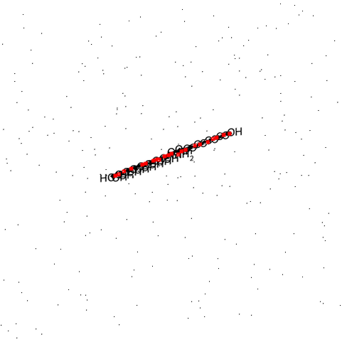 NC(CCC(=O)NCC(O)COCC(O)COCC(O)COCC(O)COCC(O)COCC(O)COCC(O)COCC(O)CO)C(=O)NCCOCCOCCOCCOCCOCCOCCOCCOCCO